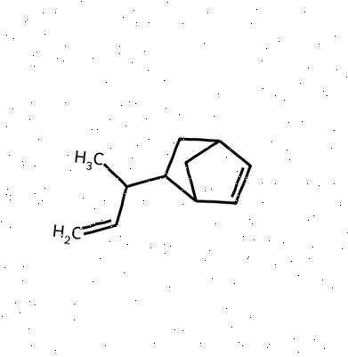 C=CC(C)C1CC2C=CC1C2